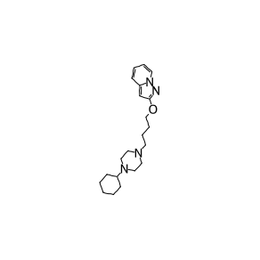 c1ccn2nc(OCCCCN3CCN(C4CCCCC4)CC3)cc2c1